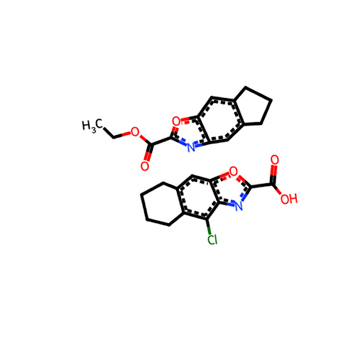 CCOC(=O)c1nc2cc3c(cc2o1)CCC3.O=C(O)c1nc2c(Cl)c3c(cc2o1)CCCC3